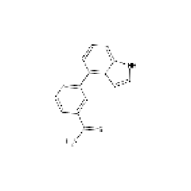 NC(=S)c1cccc(-c2cccc3[nH]ccc23)c1